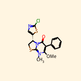 COc1c(-c2ccccc2)c(=O)n2c([n+]1C)SC[C@@H]2c1cnc(Cl)s1